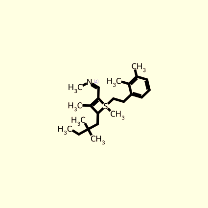 CCC(C)(C)CC1C(C)=C(/C=N\C)S1(C)CCc1cccc(C)c1C